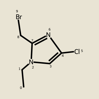 CCn1cc(Cl)nc1CBr